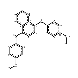 COc1ccc(Sc2ccc(Sc3ccc(OC)cc3)c3ncccc23)cc1